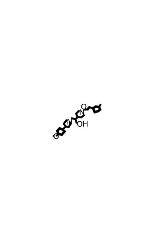 COc1ccc(C2CCN(CC(CO)C3CCN(C(=O)/C=C/c4cccc(C)c4)CC3)CC2)cc1